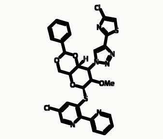 COC1C(n2cc(-c3nc(Cl)cs3)nn2)[C@H]2OC(c3ccccc3)OCC2O[C@@H]1Sc1cc(Cl)cnc1-c1ccccn1